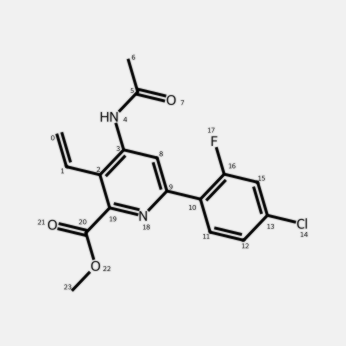 C=Cc1c(NC(C)=O)cc(-c2ccc(Cl)cc2F)nc1C(=O)OC